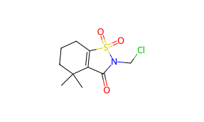 CC1(C)CCCC2=C1C(=O)N(CCl)S2(=O)=O